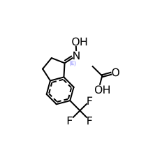 CC(=O)O.O/N=C1\CCc2ccc(C(F)(F)F)cc21